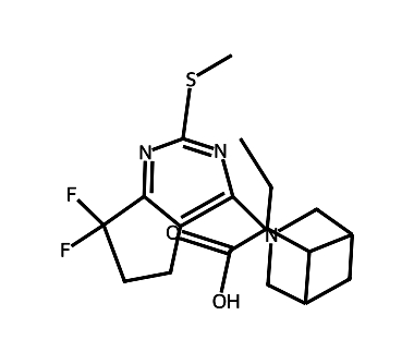 CCC(C(=O)O)C1C2CC1CN(c1nc(SC)nc3c1CCC3(F)F)C2